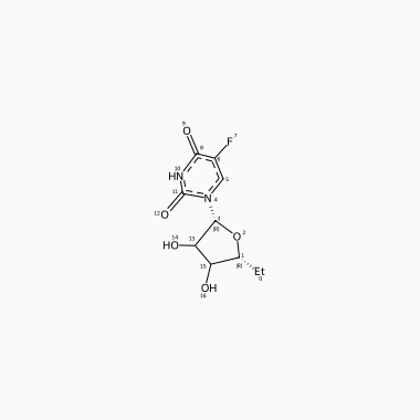 CC[C@H]1O[C@@H](n2cc(F)c(=O)[nH]c2=O)C(O)C1O